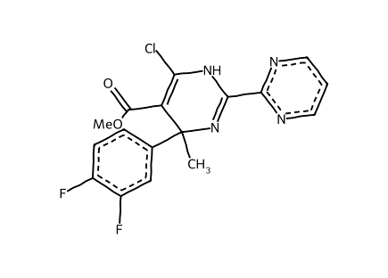 COC(=O)C1=C(Cl)NC(c2ncccn2)=NC1(C)c1ccc(F)c(F)c1